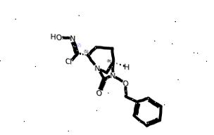 O=C1N2C[C@@H](CC[C@H]2/C(Cl)=N/O)N1OCc1ccccc1